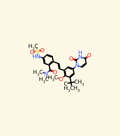 COc1c(/C=C/c2ccc(NS(C)(=O)=O)cc2C(=O)N(C)C)cc(-n2ccc(=O)[nH]c2=O)cc1C(C)(C)C